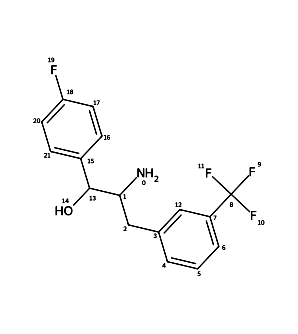 NC(Cc1cccc(C(F)(F)F)c1)C(O)c1ccc(F)cc1